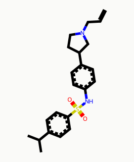 C=CCN1CCC(c2ccc(NS(=O)(=O)c3ccc(C(C)C)cc3)cc2)C1